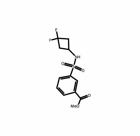 COC(=O)c1cccc(S(=O)(=O)NC2CC(F)(F)C2)c1